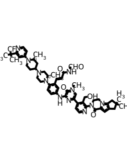 C[C@H]1CC(N2CCN(c3ccc(Nc4nc(-c5ccnc(N6CCn7c(cc8c7CC(C)(C)C8)C6=O)c5CO)cn(C)c4=O)cc3C=CC(=O)NC=O)[C@@H](C)C2)CCN1c1ccnc(C(C)(C)C(F)(F)F)c1